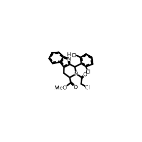 COC(=O)C1Cc2c([nH]c3ccccc23)C(c2c(Cl)cccc2Cl)N1C(=O)CCl